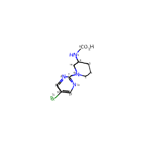 O=C(O)NC1CCCN(c2ncc(Br)cn2)C1